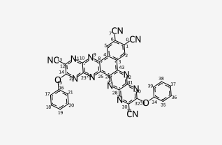 N#Cc1cc2c(cc1C#N)c1nc3nc(C#N)c(Oc4ccccc4)nc3nc1c1nc3nc(C#N)c(Oc4ccccc4)nc3nc21